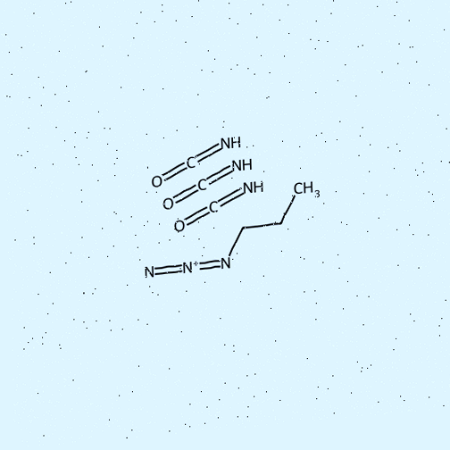 CCCN=[N+]=[N-].N=C=O.N=C=O.N=C=O